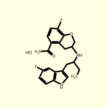 CCC(Cc1c[nH]c2ccc(F)cc12)NC1COc2c(F)ccc(C(N)=O)c2C1.Cl